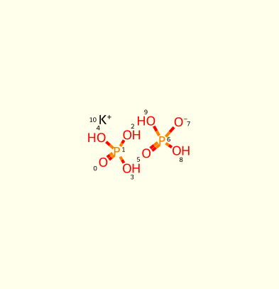 O=P(O)(O)O.O=P([O-])(O)O.[K+]